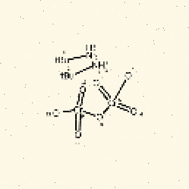 CC(C)(C)[NH3+].CC(C)(C)[NH3+].[O]=[Cr](=[O])([O-])[O][Cr](=[O])(=[O])[O-]